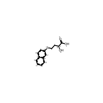 O=C(O)[C@@H](O)CCSc1ccc2ccccc2c1